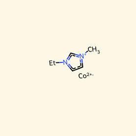 CCn1cc[n+](C)c1.[Co+2]